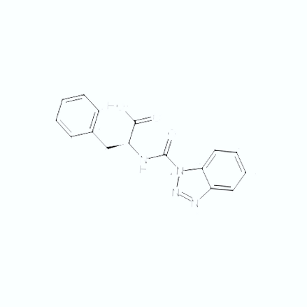 O=C(O)[C@H](Cc1ccccc1)NC(=O)n1nnc2ccccc21